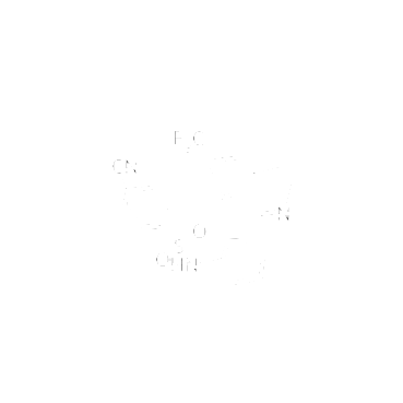 N#Cc1ccc(S(=O)(=O)Nc2cccc(C3=NCCc4cc(C(F)(F)F)ccc43)c2)cc1